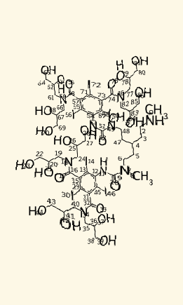 CNCCC(CCN(C)C(=O)Nc1c(I)c(C(=O)N(CC(O)CO)CC(O)CO)c(I)c(C(=O)N(CC(O)CO)CC(O)CO)c1I)CCN(C)C(=O)Nc1c(I)c(C(=O)N(CC(O)CO)CC(O)CO)c(I)c(C(=O)N(CC(O)CO)CC(O)CO)c1I